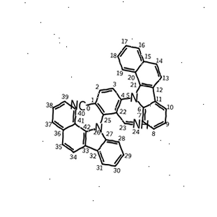 N#Cc1ccc(-n2c3ccccc3c3ccc4ccccc4c32)c(C=N)c1-n1c2ccccc2c2ccc3ccccc3c21